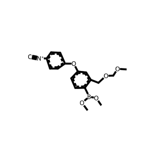 [C-]#[N+]c1ccc(Oc2ccc(B(OC)OC)c(COCOC)c2)cc1